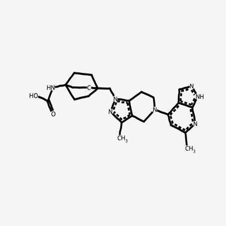 Cc1cc(N2CCc3c(c(C)nn3CC34CCC(NC(=O)O)(CC3)CC4)C2)c2cn[nH]c2n1